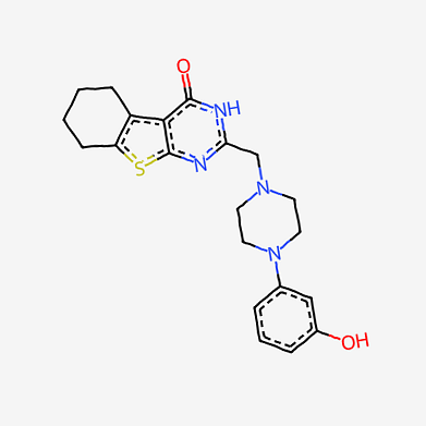 O=c1[nH]c(CN2CCN(c3cccc(O)c3)CC2)nc2sc3c(c12)CCCC3